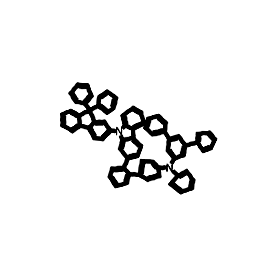 c1ccc(-c2cc(-c3ccccc3)cc(N(c3ccccc3)c3ccc(-c4ccccc4-c4ccc5c6ccccc6n(-c6ccc7c(c6)C(c6ccccc6)(c6ccccc6)c6ccccc6-7)c5c4)cc3)c2)cc1